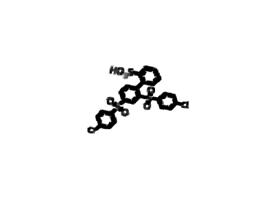 O=S(=O)(O)c1ccccc1-c1ccc(S(=O)(=O)c2ccc(Cl)cc2)cc1S(=O)(=O)c1ccc(Cl)cc1